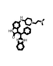 CN(C)CCN1CCC(Nc2ccc3c(c2)/C(=C(\c2ccccc2)c2nc4ccccc4[nH]2)C(=O)N3)CC1